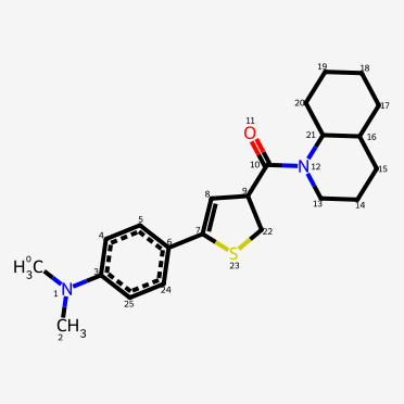 CN(C)c1ccc(C2=CC(C(=O)N3CCCC4CCCCC43)CS2)cc1